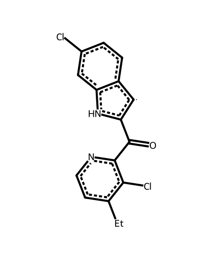 CCc1ccnc(C(=O)c2[c]c3ccc(Cl)cc3[nH]2)c1Cl